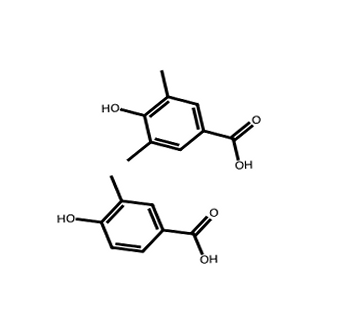 Cc1cc(C(=O)O)cc(C)c1O.Cc1cc(C(=O)O)ccc1O